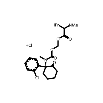 CNC(C(=O)OCOC(=O)N(C)[C@]1(c2ccccc2Cl)CCCCC1=O)C(C)C.Cl